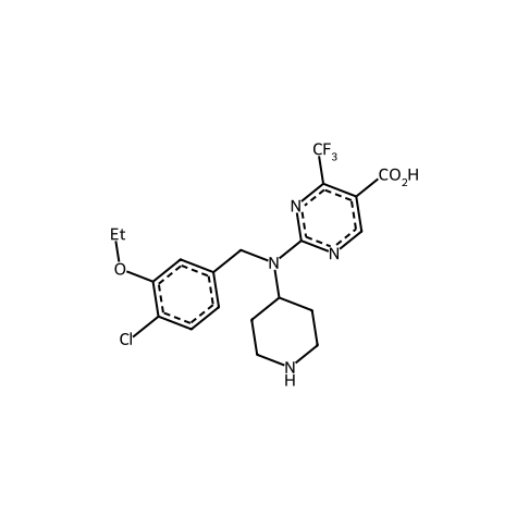 CCOc1cc(CN(c2ncc(C(=O)O)c(C(F)(F)F)n2)C2CCNCC2)ccc1Cl